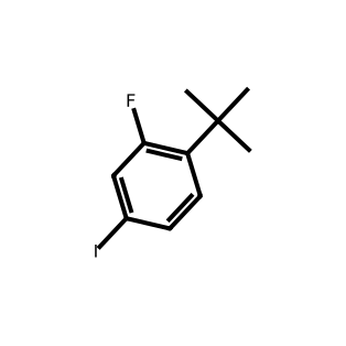 CC(C)(C)c1ccc(I)cc1F